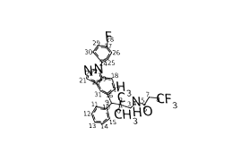 CC(C)(CNC(=O)CC(F)(F)F)C(c1ccccc1)c1ccc2c(cnn2-c2ccc(F)cc2)c1